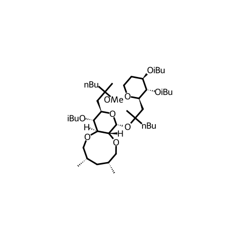 CCCCC(C)(C[C@H]1O[C@H](OC(C)(CCCC)C[C@H]2OCC[C@@H](OCC(C)C)[C@@H]2OCC(C)C)[C@@H]2OC[C@H](C)C[C@H](C)CO[C@H]2[C@@H]1OCC(C)C)OC